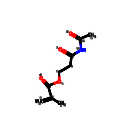 C=C(C)C(=O)OCCC(=O)NC(C)=O